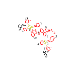 O.O.O=S(=O)([O-])[O-].O=S(=O)([O-])[O-].[Cr+3].[K+]